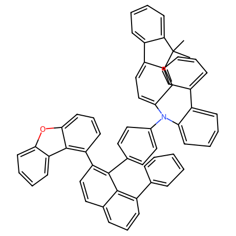 CC1(C)c2ccccc2-c2ccc(N(c3ccc(-c4c(-c5cccc6oc7ccccc7c56)ccc5cccc(-c6ccccc6)c45)cc3)c3ccccc3-c3ccccc3)cc21